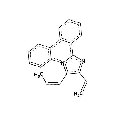 C=Cc1nc2c3ccccc3c3ccccc3n2c1/C=C\C